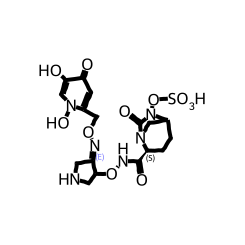 O=C(NOC1CNC/C1=N\OCc1cc(=O)c(O)cn1O)[C@@H]1CCC2CN1C(=O)N2OS(=O)(=O)O